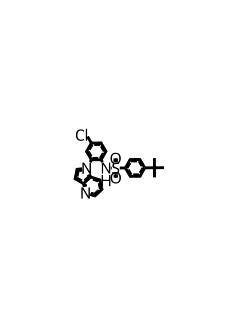 CC(C)(C)c1ccc(S(=O)(=O)Nc2ccc(Cl)cc2-n2ccc3ncccc32)cc1